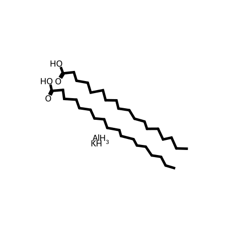 CCCCCCCCCCCCCCCCCC(=O)O.CCCCCCCCCCCCCCCCCC(=O)O.[AlH3].[KH]